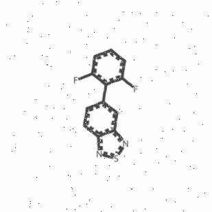 Fc1cccc(F)c1-c1[c]c2nsnc2cc1